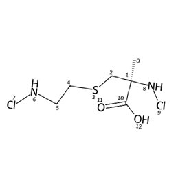 C[C@](CSCCNCl)(NCl)C(=O)O